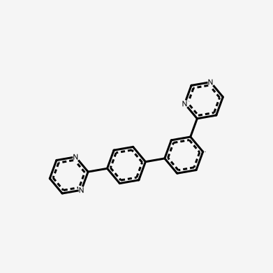 [c]1ccc(-c2ccc(-c3ncccn3)cc2)cc1-c1ccncn1